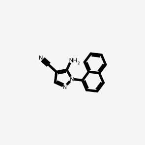 N#Cc1cnn(-c2cccc3ccccc23)c1N